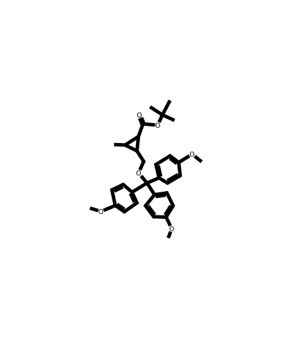 COc1ccc(C(OCC2C(C)C2C(=O)OC(C)(C)C)(c2ccc(OC)cc2)c2ccc(OC)cc2)cc1